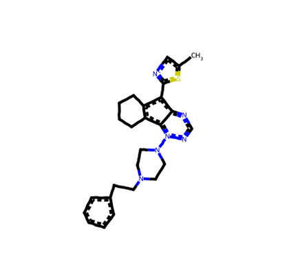 Cc1cnc(-c2c3ncnn(N4CCN(CCc5ccccc5)CC4)c-3c3c2CCCC3)s1